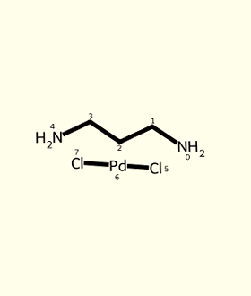 NCCCN.[Cl][Pd][Cl]